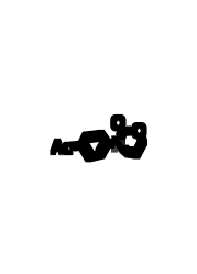 CC(=O)c1ccc(N2C=CCOC2=O)cc1